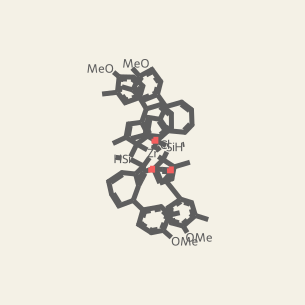 COc1ccc(C2C=CC=CC3=C2C=C(C)[C]32[SiH](C)[C]3(C(C)=CC4=C3C=CC=CC4c3ccc(OC)c(C)c3)[Zr]23([Cl])([Cl])[C]2(C(C)=CC4=C2C=CC=CC4c2ccc(OC)c(C)c2)[SiH](C)[C]32C(C)=CC3=C2C=CC=CC3c2ccc(OC)c(C)c2)cc1C